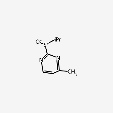 Cc1ccnc([S+]([O-])C(C)C)n1